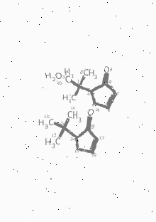 CC(C)(C)C1CC=CC1=O.CC(C)(C)C1CC=CC1=O.O